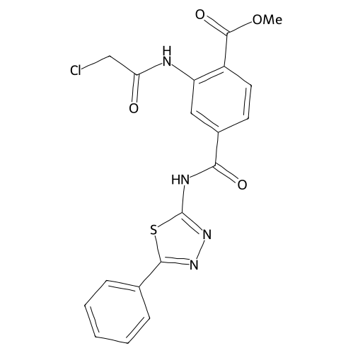 COC(=O)c1ccc(C(=O)Nc2nnc(-c3ccccc3)s2)cc1NC(=O)CCl